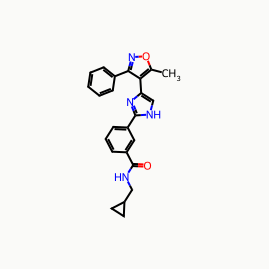 Cc1onc(-c2ccccc2)c1-c1c[nH]c(-c2cccc(C(=O)NCC3CC3)c2)n1